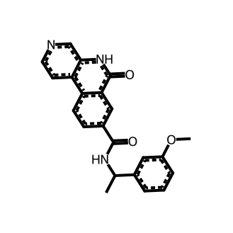 COc1cccc(C(C)NC(=O)c2ccc3c(c2)c(=O)[nH]c2cnccc23)c1